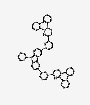 c1ccc(-n2c3ccc(-c4cccc(-c5ccc6c7ccccc7c7ccccc7c6n5)c4)cc3c3cc(-c4cccc(-c5ccc6c7ccccc7c7ccccc7c6n5)c4)ccc32)cc1